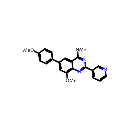 CNc1nc(-c2cccnc2)nc2c(OC)cc(-c3ccc(OC)cc3)cc12